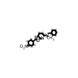 CN(Cc1ccccc1)c1ccc2nc(-c3ccc([N+](=O)[O-])cc3)oc2n1